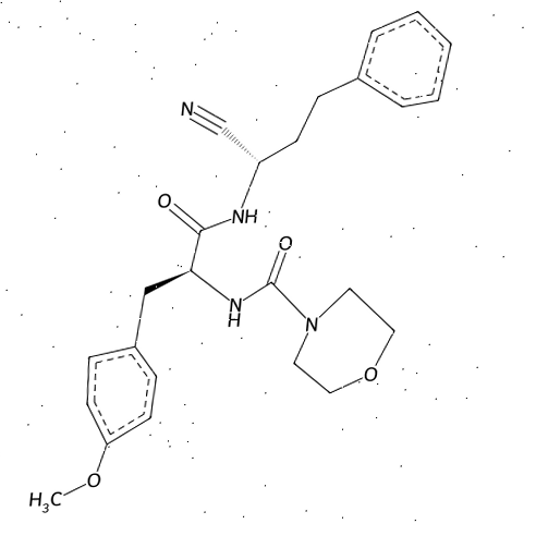 COc1ccc(C[C@H](NC(=O)N2CCOCC2)C(=O)N[C@H](C#N)CCc2ccccc2)cc1